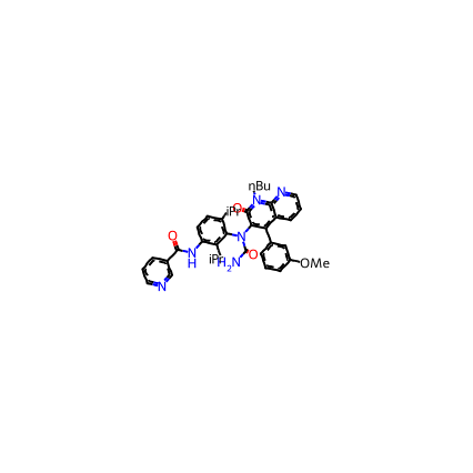 CCCCn1c(=O)c(N(C(N)=O)c2c(C(C)C)ccc(NC(=O)c3cccnc3)c2C(C)C)c(-c2cccc(OC)c2)c2cccnc21